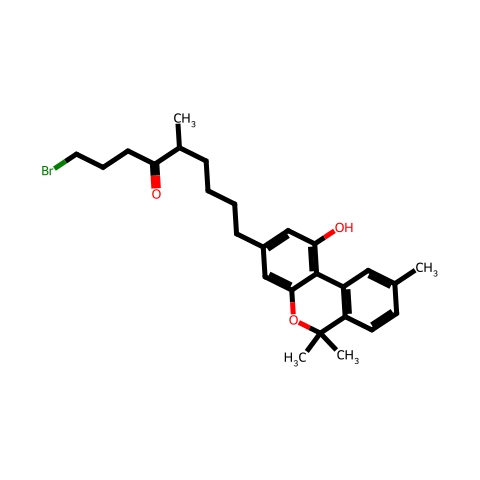 Cc1ccc2c(c1)-c1c(O)cc(CCCCC(C)C(=O)CCCBr)cc1OC2(C)C